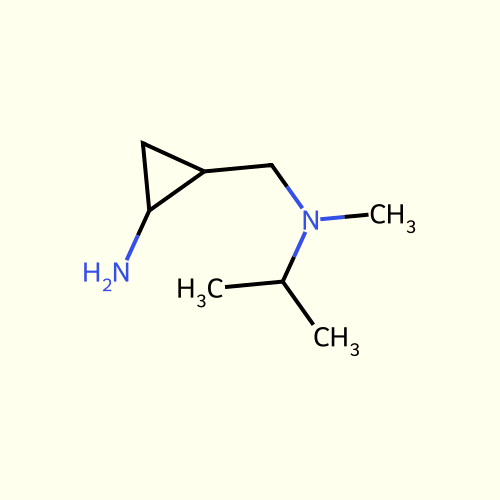 CC(C)N(C)CC1CC1N